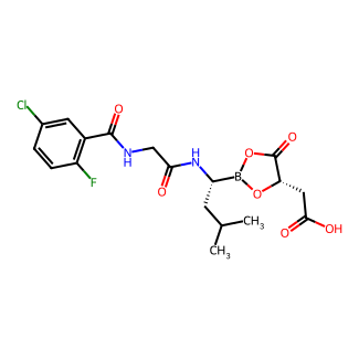 CC(C)C[C@H](NC(=O)CNC(=O)c1cc(Cl)ccc1F)B1OC(=O)[C@H](CC(=O)O)O1